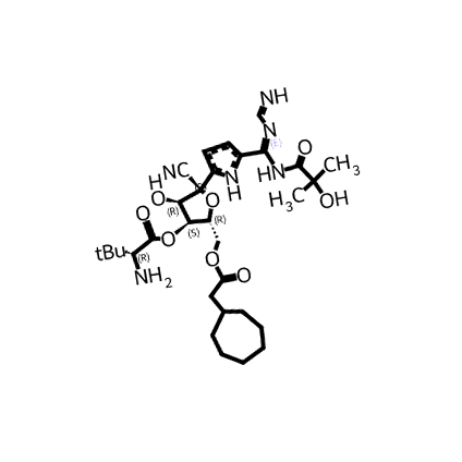 CC(C)(O)C(=O)N/C(=N/C=N)c1ccc([C@]2(C#N)O[C@H](COC(=O)CC3CCCCCC3)[C@@H](OC(=O)[C@H](N)C(C)(C)C)[C@H]2O)[nH]1